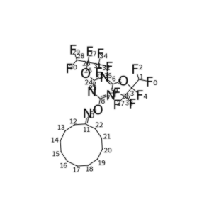 FC(F)C(F)(Oc1nc(ON=C2CCCCCCCCCCC2)nc(OC(F)(C(F)F)C(F)(F)F)n1)C(F)(F)F